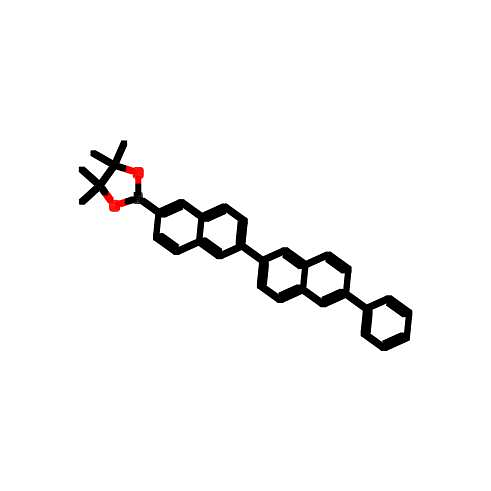 CC1(C)OB(c2ccc3cc(-c4ccc5cc(-c6ccccc6)ccc5c4)ccc3c2)OC1(C)C